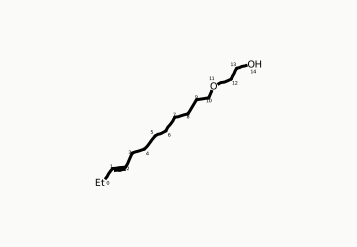 CC/C=C/CCCCCCCCOCCO